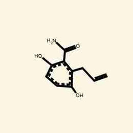 C=CCc1c(O)ccc(O)c1C(N)=O